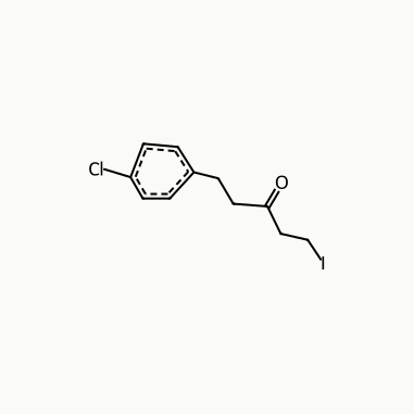 O=C(CCI)CCc1ccc(Cl)cc1